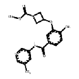 Cc1ccc(C(=O)Nc2cncc(C(F)(F)F)c2)cc1OC1CN(C(=O)OC(C)(C)C)C1